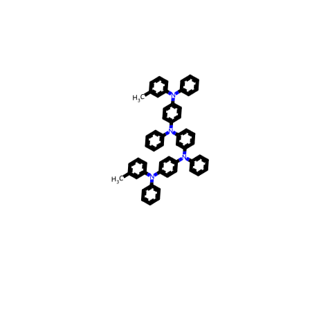 Cc1cccc(N(c2ccccc2)c2ccc(N(c3ccccc3)c3cccc(N(c4ccccc4)c4ccc(N(c5ccccc5)c5cccc(C)c5)cc4)c3)cc2)c1